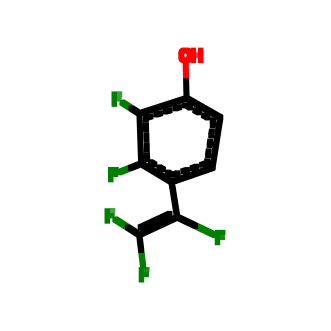 Oc1ccc(C(F)=C(F)F)c(F)c1F